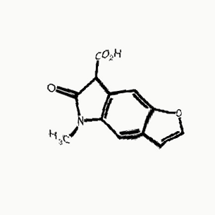 CN1C(=O)C(C(=O)O)c2cc3occc3cc21